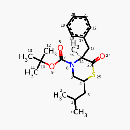 CC(C)C[C@H]1CN(C(=O)OC(C)(C)C)[C@@](C)(Cc2ccccc2)C(=O)S1